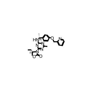 CC[C@H]1COC(=O)N1c1nc(C)nc(N[C@H](C)c2ccc(OCc3ccccn3)cc2)n1